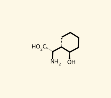 N[C@H](C(=O)O)[C@@H]1CCCC[C@H]1O